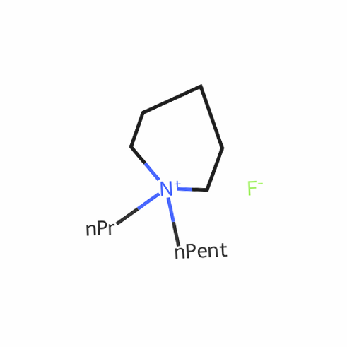 CCCCC[N+]1(CCC)CCCCC1.[F-]